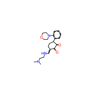 CN(C)CCNC=C1CCC(c2ccccc2N2CCOCC2)C(=O)C1=O